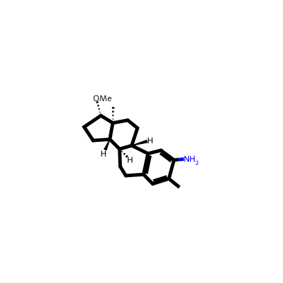 CO[C@H]1CC[C@H]2[C@@H]3CCc4cc(C)c(N)cc4[C@H]3CC[C@]12C